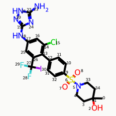 CC1(O)CCN(S(=O)(=O)c2ccc(-c3c(Cl)cc(Nc4n[nH]c(N)n4)cc3C(F)(F)I)cc2)CC1